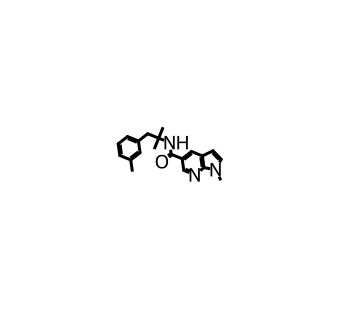 Cc1cccc(CC(C)(C)NC(=O)c2cnc3c(ccn3C)c2)c1